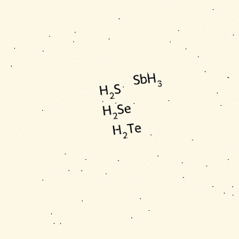 S.[SbH3].[SeH2].[TeH2]